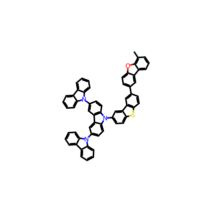 Cc1cccc2c1oc1ccc(-c3ccc4sc5ccc(-n6c7ccc(-n8c9ccccc9c9ccccc98)cc7c7cc(-n8c9ccccc9c9ccccc98)ccc76)cc5c4c3)cc12